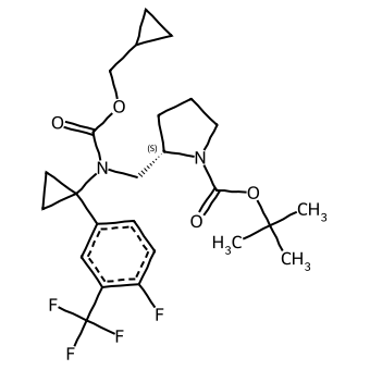 CC(C)(C)OC(=O)N1CCC[C@H]1CN(C(=O)OCC1CC1)C1(c2ccc(F)c(C(F)(F)F)c2)CC1